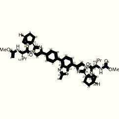 C=C(N[C@H](C(=O)N1C[C@@H]2CC[C@@]1(c1nc(-c3ccc(-c4ccc(-c5c[nH]c([C@@]67CC[C@@H](CN6C(=O)[C@@H](NC(=O)OC)C(C)C)C7)n5)c5sc(C)nc45)cc3)c[nH]1)C2)C(C)C)OC